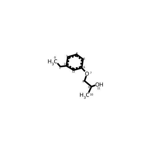 CCc1cccc(OCC(C)O)c1